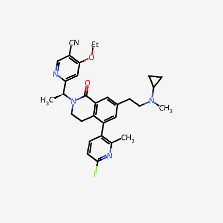 CCOc1cc([C@H](C)N2CCc3c(cc(CCN(C)C4CC4)cc3-c3ccc(F)nc3C)C2=O)ncc1C#N